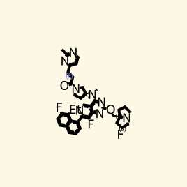 CCc1c(F)ccc2cccc(-c3ncc4c(N(C)[C@@H]5CCN(C(=O)/C=C/c6ccnc(C)n6)C5)nc(OC[C@@]56CCCN5C[C@H](F)C6)nc4c3F)c12